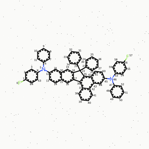 Fc1ccc(N(c2ccccc2)c2ccc3cc4c(cc3c2)C(c2ccccc2)(c2ccccc2)c2c-4c3ccccc3c3cc(N(c4ccccc4)c4ccc(F)cc4)ccc23)cc1